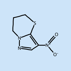 O=[N+]([O-])c1cnn2c1SCCC2